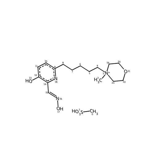 CS(=O)(=O)O.C[N+]1(CCCCCc2ccc(O)c(C=NO)n2)CCOCC1